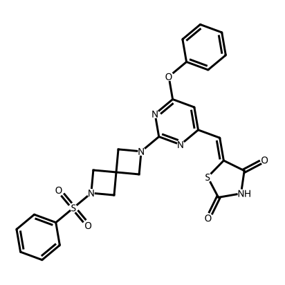 O=C1NC(=O)C(=Cc2cc(Oc3ccccc3)nc(N3CC4(C3)CN(S(=O)(=O)c3ccccc3)C4)n2)S1